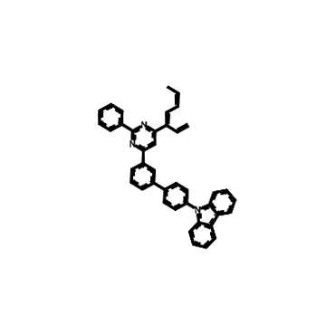 C=C/C(=C\C=C/C)c1cc(-c2cccc(-c3ccc(-n4c5ccccc5c5ccccc54)cc3)c2)nc(-c2ccccc2)n1